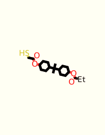 CCC(=O)OC1CCC(C(C)(C)C2CCC(OC(=O)CS)CC2)CC1